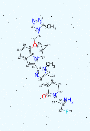 Cc1nncn1CCOc1cccc2cc(-c3nc4cc5c(cc4n3C)CCN(C[C@H](N)CF)C5=O)n(CC3CC3)c12